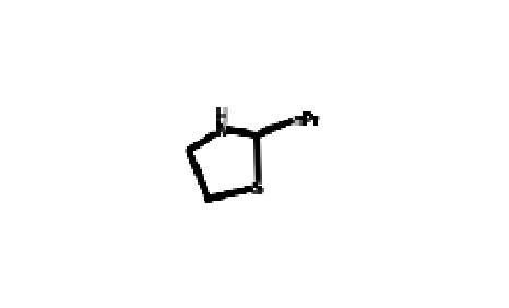 CCCC1NCCS1